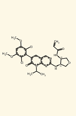 C=CC(=O)N[C@H]1COC[C@H]1Nc1ncc2cc(-c3c(Cl)c(OC)cc(OC)c3Cl)c(=O)n(C(C)C)c2n1